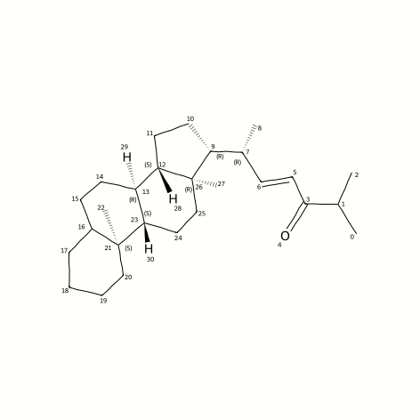 CC(C)C(=O)C=C[C@@H](C)[C@H]1CC[C@H]2[C@@H]3CCC4CCCC[C@]4(C)[C@H]3CC[C@]12C